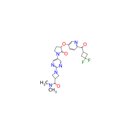 CN(C)C(=O)C1CN(c2ncc(N3CC[C@@H](Oc4ccc(C(=O)C5CC(F)(F)C5)nc4)C3=O)cn2)C1